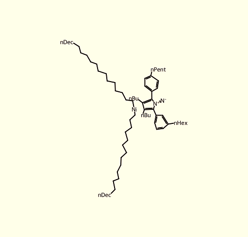 CCCCCCCCCCCCCCCCCCCCCC[CH2][Ni][CH2]CCCCCCCCCCCCCCCCCCCCCC.CCCCCCc1cccc(C2=C(CCCC)C(CCCC)=C(c3ccc(CCCCC)cc3)[N+]2=[N-])c1